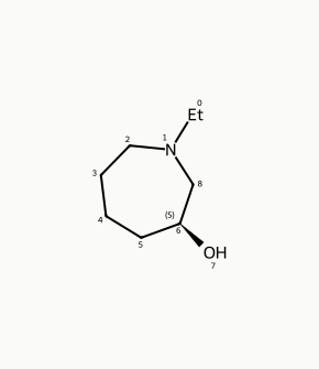 CCN1CCCC[C@H](O)C1